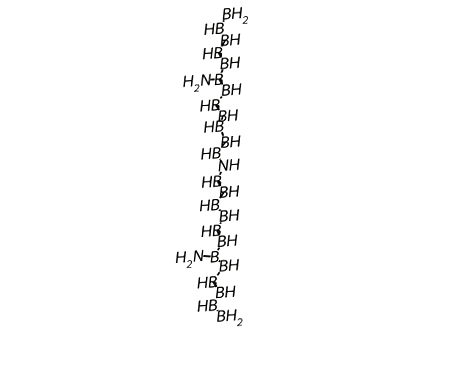 BBBBBB(N)BBBBBBNBBBBBBB(N)BBBBB